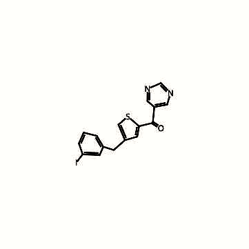 O=C(c1cncnc1)c1cc(Cc2cccc(I)c2)cs1